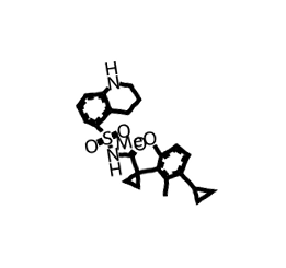 COc1ccc(C2CC2)c(C)c1C1(C(=O)NS(=O)(=O)c2cccc3c2CCCN3)CC1